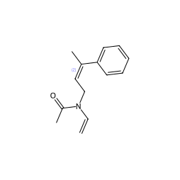 C=CN(C/C=C(/C)c1ccccc1)C(C)=O